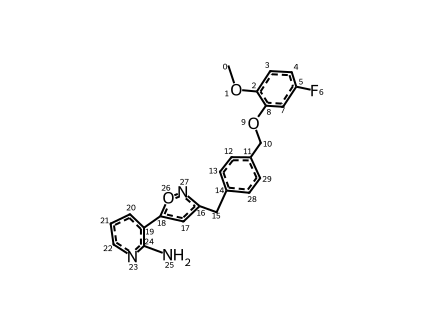 COc1ccc(F)cc1OCc1ccc(Cc2cc(-c3cccnc3N)on2)cc1